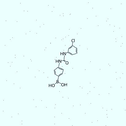 O=C(Nc1ccc(B(O)O)cc1)Nc1cccc(Cl)c1